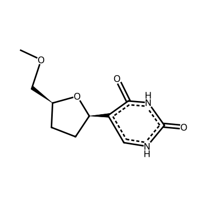 COC[C@@H]1CC[C@H](c2c[nH]c(=O)[nH]c2=O)O1